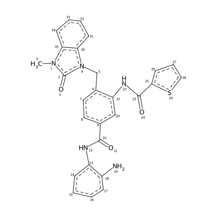 Cn1c(=O)n(Cc2ccc(C(=O)Nc3ccccc3N)cc2NC(=O)c2cccs2)c2ccccc21